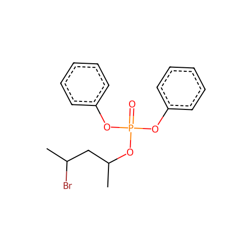 CC(Br)CC(C)OP(=O)(Oc1ccccc1)Oc1ccccc1